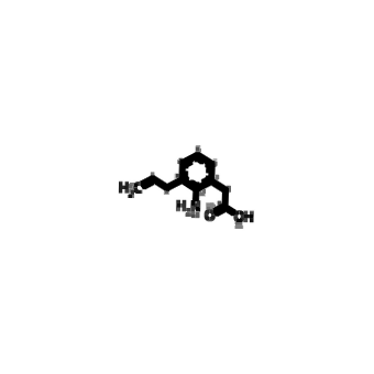 C=CCc1cccc(CC(=O)O)c1N